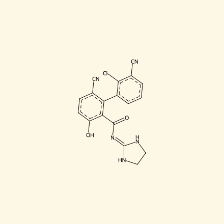 N#Cc1cccc(-c2c(C#N)ccc(O)c2C(=O)N=C2NCCN2)c1Cl